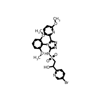 COc1cccc(-c2nnc(NS(=O)(=O)CC(O)c3ccc(Br)cn3)n2-c2c(OC)cccc2OC)n1